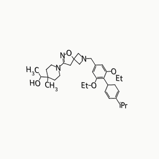 CCOc1cc(CN2CC3(CC(N4CCC(C)(C(C)O)CC4)=NO3)C2)cc(OCC)c1C1C=CC(C(C)C)=CC1